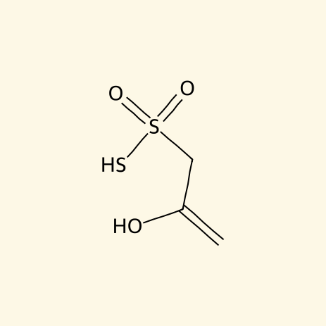 C=C(O)CS(=O)(=O)S